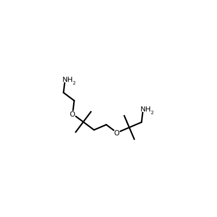 CC(C)(CN)OCCC(C)(C)OCCN